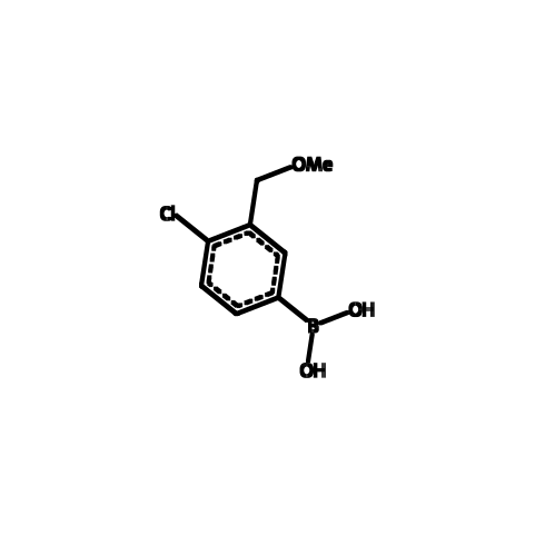 COCc1cc(B(O)O)ccc1Cl